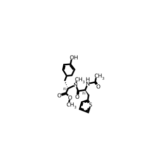 COC(=O)[C@H](CC1C=CC(O)=CC1)N(C)C(=O)[C@H](Cc1cccs1)NC(C)=O